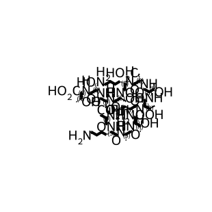 CC(C)C[C@H](NC(=O)[C@@H](NC(=O)[C@H](C)NC(=O)[C@H](CCCCN)NC(=O)[C@@H](N)CC(=O)O)[C@@H](C)O)C(=O)N[C@H](C(=O)N[C@H](C(=O)N[C@@H](CC(=O)O)C(=O)N[C@@H](CCCCN)C(=O)N[C@@H](CO)C(=O)N[C@@H](CO)C(=O)N[C@@H](CO)C(=O)N[C@H](C(=O)O)[C@@H](C)O)[C@@H](C)O)[C@@H](C)O